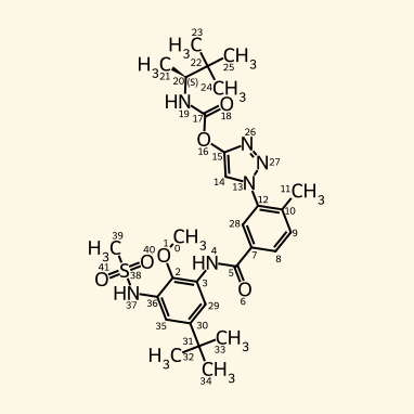 COc1c(NC(=O)c2ccc(C)c(-n3cc(OC(=O)N[C@@H](C)C(C)(C)C)nn3)c2)cc(C(C)(C)C)cc1NS(C)(=O)=O